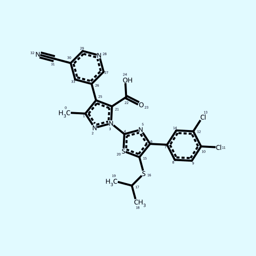 Cc1nn(-c2nc(-c3ccc(Cl)c(Cl)c3)c(SC(C)C)s2)c(C(=O)O)c1-c1cncc(C#N)c1